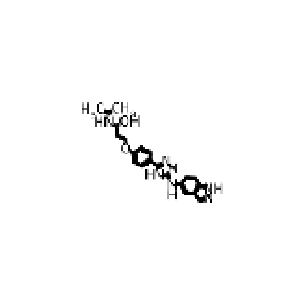 CC(C)NC(O)CCOc1ccc(-c2nnc(Nc3ccc4[nH]ncc4c3)[nH]2)cc1